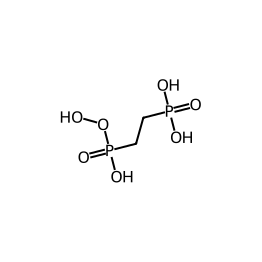 O=P(O)(O)CCP(=O)(O)OO